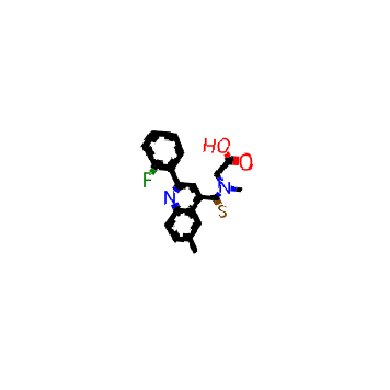 Cc1ccc2nc(-c3ccccc3F)cc(C(=S)N(C)CC(=O)O)c2c1